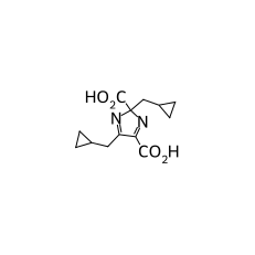 O=C(O)C1=NC(CC2CC2)(C(=O)O)N=C1CC1CC1